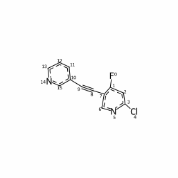 Fc1cc(Cl)ncc1C#Cc1cccnc1